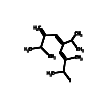 C=C(/C=C(\C=C(/C)C(C)I)C(C)C)C(C)C